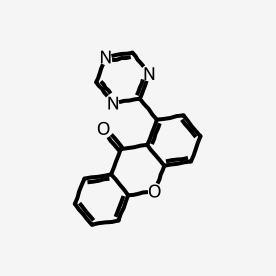 O=c1c2ccccc2oc2cccc(-c3ncncn3)c12